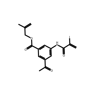 C=C(C)COC(=O)c1cc(NC(=O)C(=C)I)cc(C(C)=O)c1